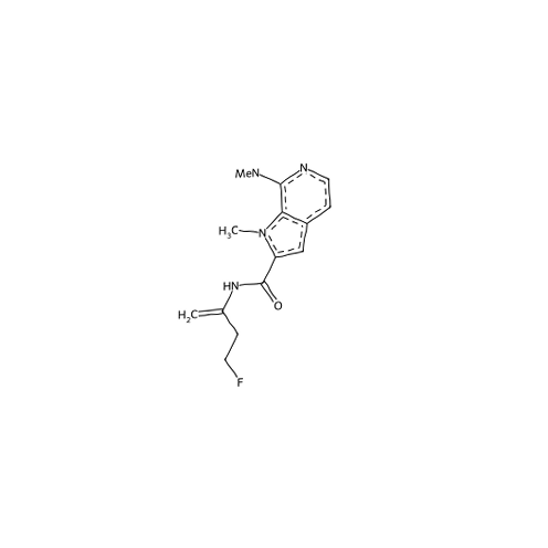 C=C(CCF)NC(=O)c1cc2ccnc(NC)c2n1C